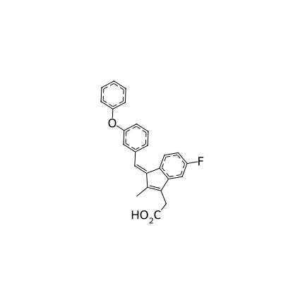 CC1=C(CC(=O)O)c2cc(F)ccc2C1=Cc1cccc(Oc2ccccc2)c1